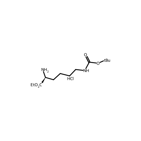 CCOC(=O)[C@@H](N)CCCCNC(=O)OC(C)(C)C.Cl